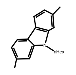 CCCCCCn1c2cc(C)ccc2c2ccc(C)cc21